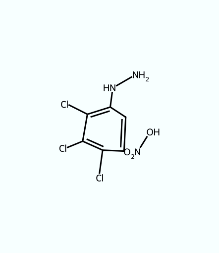 NNc1ccc(Cl)c(Cl)c1Cl.O=[N+]([O-])O